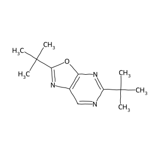 CC(C)(C)c1ncc2nc(C(C)(C)C)oc2n1